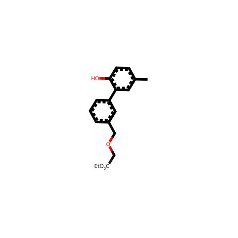 CCOC(=O)COCc1cccc(-c2cc(C)ccc2O)c1